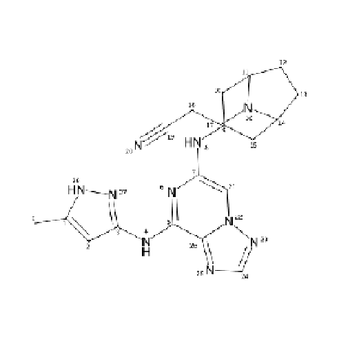 Cc1cc(Nc2nc(NC3CC4CCC(C3)N4CCC#N)cn3ncnc23)n[nH]1